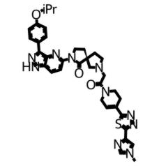 CC(C)Oc1ccc(-c2n[nH]c3ccc(N4CC[C@]5(CCN(CC(=O)N6CC=C(c7nnc(-c8cn(C)cn8)s7)CC6)C5)C4=O)nc23)cc1